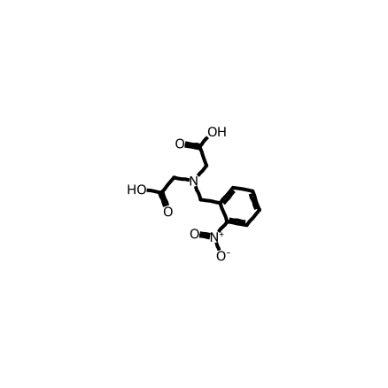 O=C(O)CN(CC(=O)O)Cc1ccccc1[N+](=O)[O-]